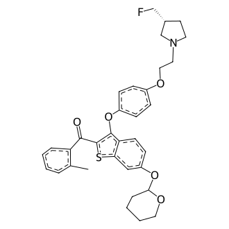 Cc1ccccc1C(=O)c1sc2cc(OC3CCCCO3)ccc2c1Oc1ccc(OCCN2CC[C@@H](CF)C2)cc1